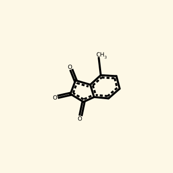 Cc1cccc2c(=O)c(=O)c(=O)c12